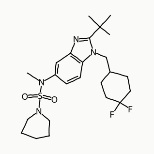 CN(c1ccc2c(c1)nc(C(C)(C)C)n2CC1CCC(F)(F)CC1)S(=O)(=O)N1CCCCC1